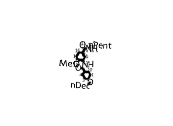 CCCCCCCCCCOc1ccc(C(=O)Nc2cc(C(=O)NCCCCC)ccc2OC)cc1